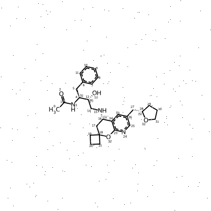 CC(=O)N[C@@H](Cc1ccccc1)[C@H](O)CN[C@H]1CC2(CCC2)Oc2ncc(C[C@@H]3CCCO3)cc21